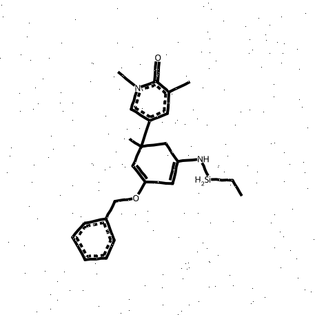 CC[SiH2]NC1=CC(OCc2ccccc2)=CC(C)(c2cc(C)c(=O)n(C)c2)C1